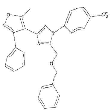 Cc1onc(-c2ccccc2)c1-c1cn(-c2ccc(C(F)(F)F)cc2)c(COCc2ccccc2)n1